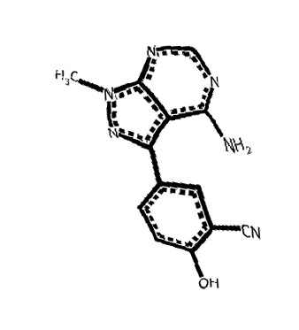 Cn1nc(-c2ccc(O)c(C#N)c2)c2c(N)ncnc21